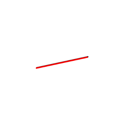 CCCCCCCCCCCCCCCCCCCCCCCCCCCCCCCCCCCCCCCCCCCCCCCCCCCCCCCCCCCCCCCCCCCCCCCCCCCCCCCCCCCCCCCCCCCCC